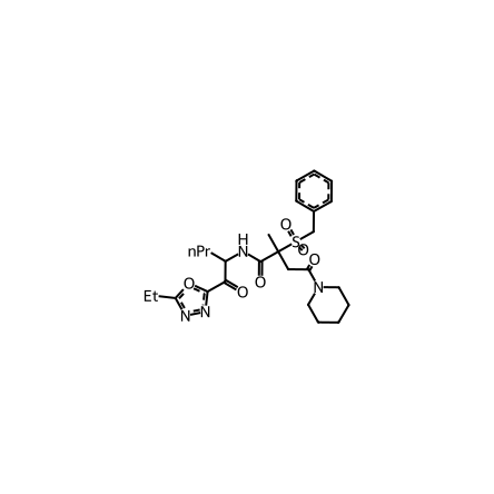 CCCC(NC(=O)C(C)(CC(=O)N1CCCCC1)S(=O)(=O)Cc1ccccc1)C(=O)c1nnc(CC)o1